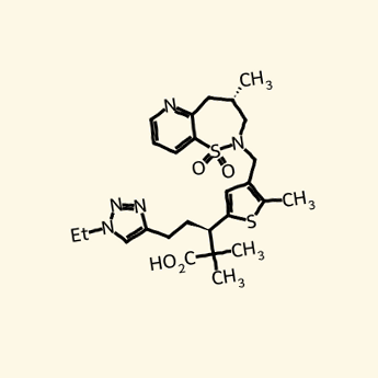 CCn1cc(CC[C@@H](c2cc(CN3C[C@@H](C)Cc4ncccc4S3(=O)=O)c(C)s2)C(C)(C)C(=O)O)nn1